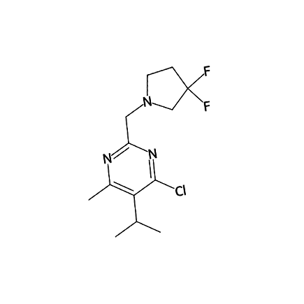 Cc1nc(CN2CCC(F)(F)C2)nc(Cl)c1C(C)C